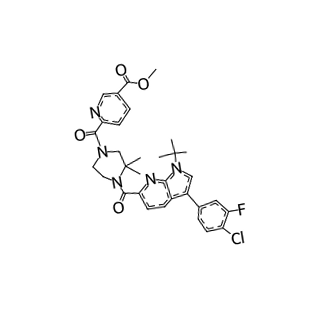 COC(=O)c1ccc(C(=O)N2CCN(C(=O)c3ccc4c(-c5ccc(Cl)c(F)c5)cn(C(C)(C)C)c4n3)C(C)(C)C2)nc1